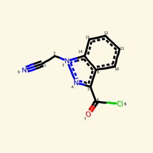 N#CCn1nc(C(=O)Cl)c2ccccc21